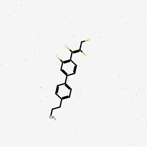 CCCc1ccc(-c2ccc(/C(F)=C(\F)CF)c(F)c2)cc1